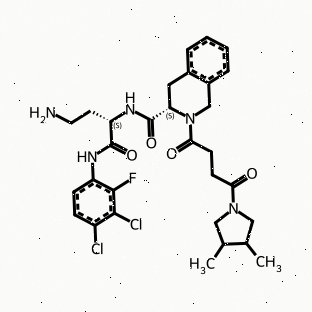 CC1CN(C(=O)CCC(=O)N2Cc3ccccc3C[C@H]2C(=O)N[C@@H](CCN)C(=O)Nc2ccc(Cl)c(Cl)c2F)CC1C